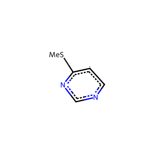 CSc1[c]cncn1